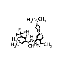 C=C/C=C(\C(C)=C(/C)C(F)(F)F)[C@@H](C)Nc1nnc(C)c2cnc(N3CC(N(C)C)C3)cc12